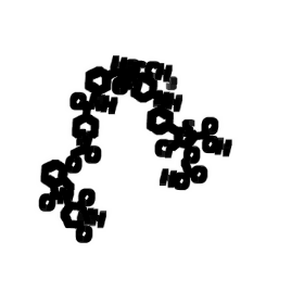 CC1(C)C[C@@H](Nc2cccc(-c3sc(C(=O)O)c(OCC(=O)O)c3Cl)c2)CCN1S(=O)(=O)Cc1cccc(NC(=O)C2CCN(C(=O)COc3cccc4c3CN(C3CCC(=O)NC3=O)C4=O)CC2)c1